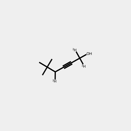 [2H]C(C#CC([2H])([2H])O)C(C)(C)C